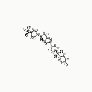 Cc1ccc(S(=O)(=O)N2CC=C(c3nc4ccc(-c5ccc(S(C)(=O)=O)cc5)nc4s3)CC2)cc1